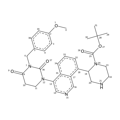 COc1ccc(CN2C(=O)CCN(c3cncc4c(C5CNCCN5C(=O)OC(C)(C)C)cccc34)C2=O)cc1